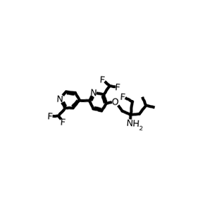 CC(C)CC(N)(CF)COc1ccc(-c2ccnc(C(F)F)c2)nc1C(F)F